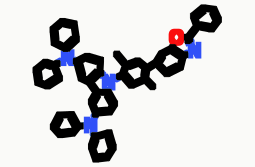 Cc1cc(-n2c3ccc(N(c4ccccc4)c4ccccc4)cc3c3cc(N(c4ccccc4)c4ccccc4)ccc32)c(C)cc1-c1ccc2nc(-c3ccccc3)oc2c1